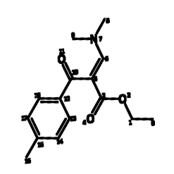 CCOC(=O)/C(=C/N(C)C)C(=O)c1ccc(C)cc1